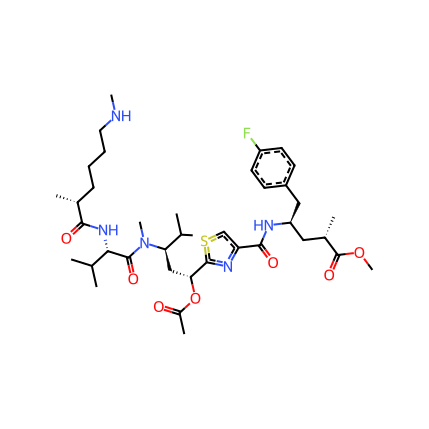 CNCCCC[C@@H](C)C(=O)N[C@H](C(=O)N(C)[C@H](C[C@@H](OC(C)=O)c1nc(C(=O)N[C@@H](Cc2ccc(F)cc2)C[C@H](C)C(=O)OC)cs1)C(C)C)C(C)C